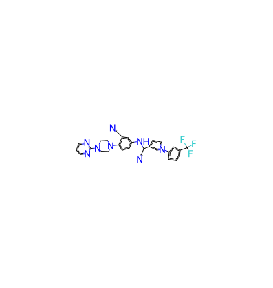 N#Cc1cc(NC(C#N)c2ccn(-c3cccc(C(F)(F)F)c3)c2)ccc1N1CCN(c2ncccn2)CC1